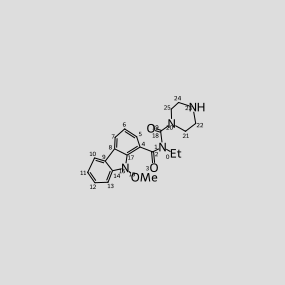 CCN(C(=O)c1cccc2c3ccccc3n(OC)c12)C(=O)N1CCNCC1